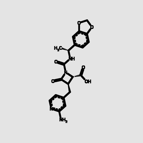 C[C@@H](NC(=O)N1C(=O)[C@H](Cc2ccnc(N)c2)[C@H]1C(=O)O)c1ccc2c(c1)OCO2